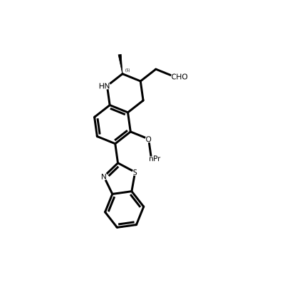 CCCOc1c(-c2nc3ccccc3s2)ccc2c1CC(CC=O)[C@H](C)N2